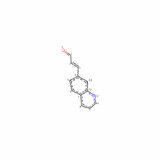 O=C/C=C/c1ccc2cccnc2c1